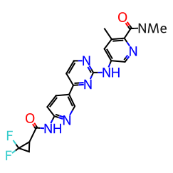 CNC(=O)c1ncc(Nc2nccc(-c3ccc(NC(=O)C4CC4(F)F)nc3)n2)cc1C